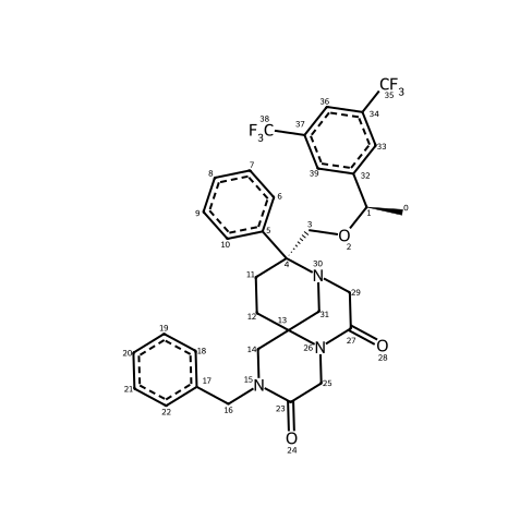 C[C@@H](OC[C@@]1(c2ccccc2)CCC23CN(Cc4ccccc4)C(=O)CN2C(=O)CN1C3)c1cc(C(F)(F)F)cc(C(F)(F)F)c1